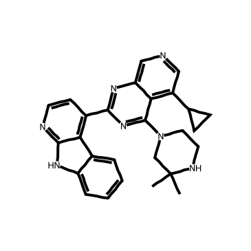 CC1(C)CN(c2nc(-c3ccnc4[nH]c5ccccc5c34)nc3cncc(C4CC4)c23)CCN1